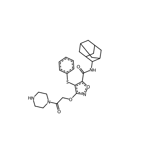 O=C(NC1C2CC3CC(C2)CC1C3)c1onc(OCC(=O)N2CCNCC2)c1Sc1ccccc1